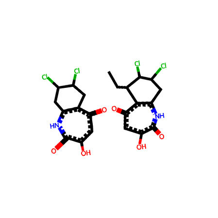 CCC1c2c([nH]c(=O)c(O)cc2=O)CC(Cl)C1Cl.O=c1cc(O)c(=O)[nH]c2c1CC(Cl)C(Cl)C2